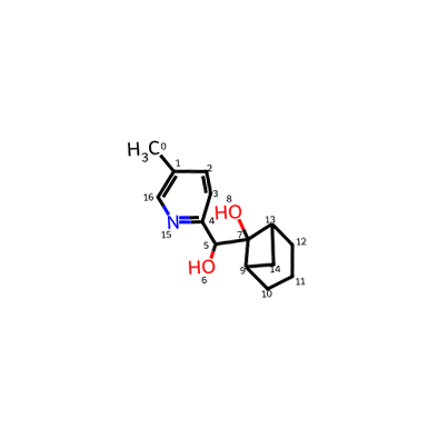 Cc1ccc(C(O)C2(O)C3CCCC2C3)nc1